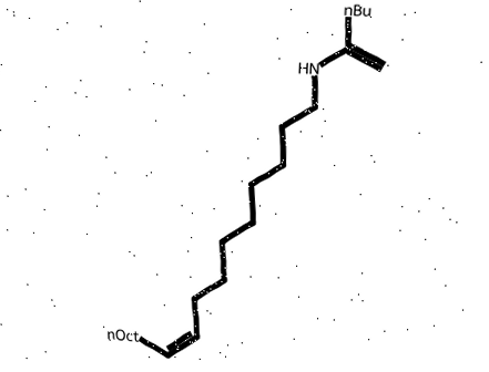 C=C(CCCC)NCCCCCCCC/C=C\CCCCCCCC